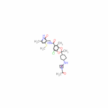 CSc1cc(C)[nH]c(=O)c1CNC(=O)c1cc(Cl)c2c(c1C)OC(C)(C1CCC(NC34CC(C3)N(C(C)=O)C4)CC1)O2